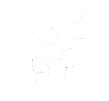 CSc1nccc(N2C(=O)CO[C@@H](c3ccc(Cl)cc3)[C@H]2c2ccc(Cl)cc2)n1